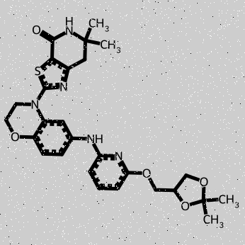 CC1(C)Cc2nc(N3CCOc4ccc(Nc5cccc(OCC6COC(C)(C)O6)n5)cc43)sc2C(=O)N1